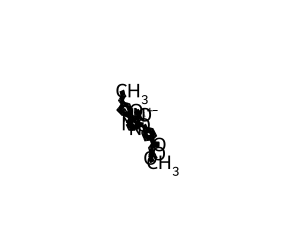 CCCC1CCN(c2ncnc(Oc3ccc(C(=O)CC(=O)OC)cc3)c2[N+](=O)[O-])CC1